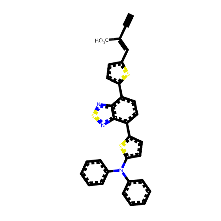 C#C/C(=C/c1ccc(-c2ccc(-c3ccc(N(c4ccccc4)c4ccccc4)s3)c3nsnc23)s1)C(=O)O